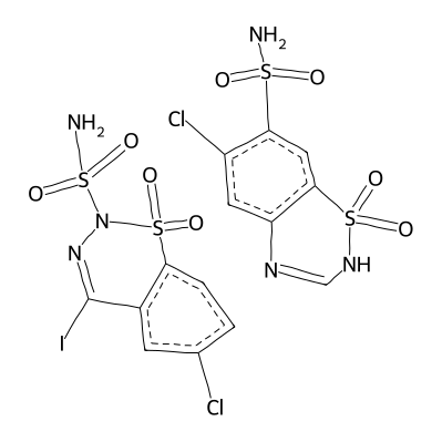 NS(=O)(=O)N1N=C(I)c2cc(Cl)ccc2S1(=O)=O.NS(=O)(=O)c1cc2c(cc1Cl)N=CNS2(=O)=O